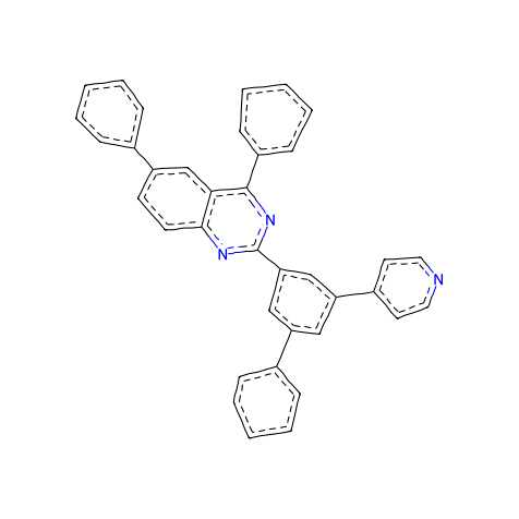 c1ccc(-c2cc(-c3ccncc3)cc(-c3nc(-c4ccccc4)c4cc(-c5ccccc5)ccc4n3)c2)cc1